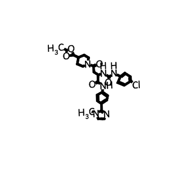 CC1OC(C2CCN(C(=O)CC(NC(=O)Nc3ccc(Cl)cc3)C(=O)Nc3ccc(C4=NCCN4C)cc3)CC2)O1